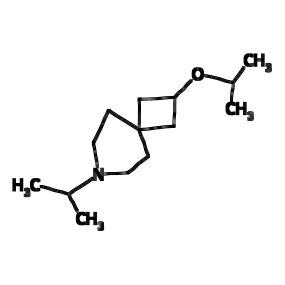 CC(C)OC1CC2(CCN(C(C)C)CC2)C1